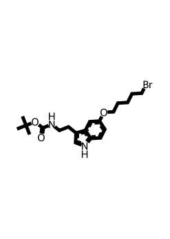 CC(C)(C)OC(=O)NCCc1c[nH]c2ccc(OCCCCCBr)cc12